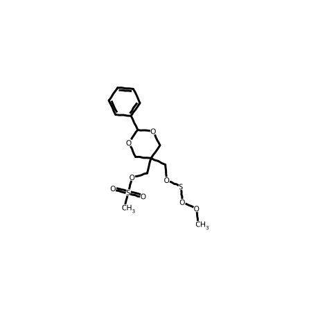 COOSOCC1(COS(C)(=O)=O)COC(c2ccccc2)OC1